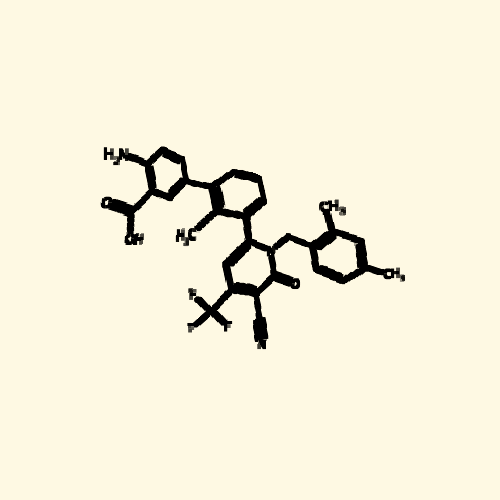 Cc1ccc(Cn2c(-c3cccc(-c4ccc(N)c(C(=O)O)c4)c3C)cc(C(F)(F)F)c(C#N)c2=O)c(C)c1